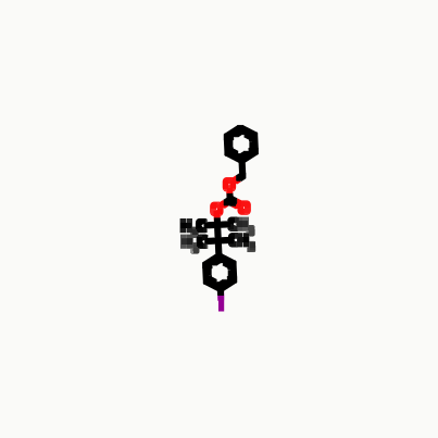 CC(C)(OC(=O)OCc1ccccc1)C(C)(C)c1ccc(I)cc1